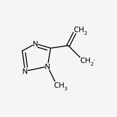 [CH2]C(=C)c1ncnn1C